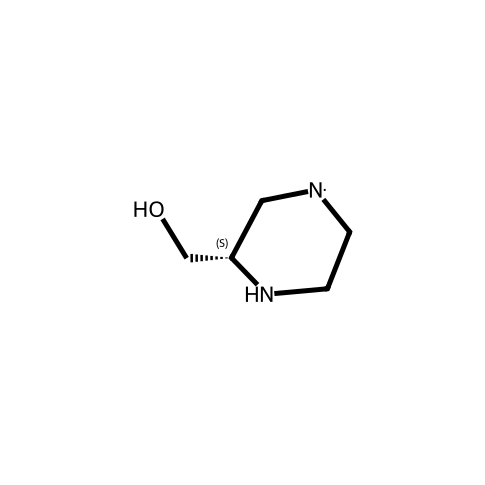 OC[C@@H]1C[N]CCN1